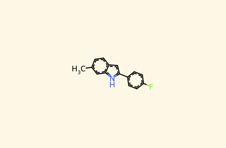 Cc1ccc2cc(-c3ccc(F)cc3)[nH]c2c1